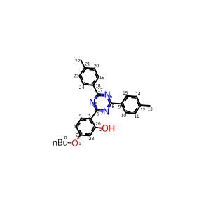 CCCCOc1ccc(-c2nc(-c3ccc(C)cc3)nc(-c3ccc(C)cc3)n2)c(O)c1